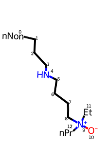 CCCCCCCCCCCCNCCCC[N+]([O-])(CC)CCC